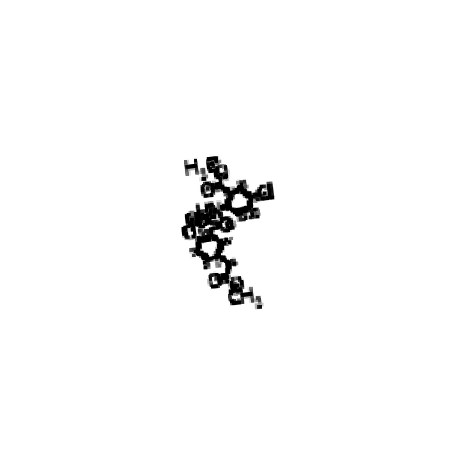 COC(=O)Cc1ccc(OC)c(S(=O)(=O)Nc2ccc(Cl)cc2C(=O)OC)c1